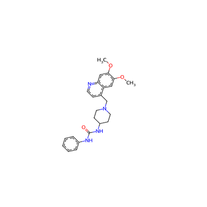 COc1cc2nccc(CN3CCC(NC(=O)Nc4ccccc4)CC3)c2cc1OC